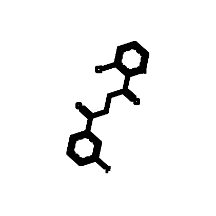 O=C(CCC(=O)c1ncccc1Cl)c1cccc(F)c1